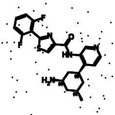 C[C@H]1C[C@@H](N)C[C@@H](c2ccncc2NC(=O)c2csc(-c3c(F)cccc3F)n2)C1